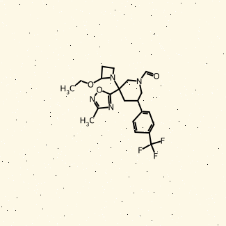 CCOC1CCN1C1(c2nc(C)no2)CC(c2ccc(C(F)(F)F)cc2)CN(C=O)C1